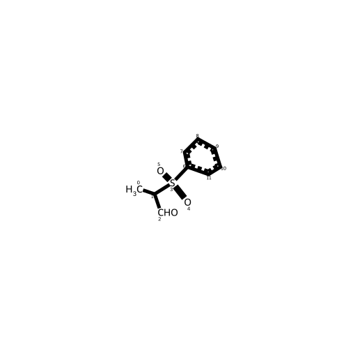 CC(C=O)S(=O)(=O)c1ccccc1